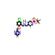 CC(C)(C)OC(=O)N1CCC(CNCc2cc(Cl)ccc2OCc2ncccn2)CC1